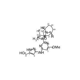 COc1cc(Nc2cc(CO)[nH]n2)nc(N(C)[C@H]2C[C@H]3CCC[C@@H](C2)N3C(=O)C(F)F)n1